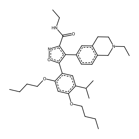 CCCCOc1cc(OCCCC)c(C(C)C)cc1-c1onc(C(=O)NCC)c1-c1ccc2c(c1)CCN(CC)C2